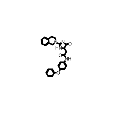 O=C(CC1NC(N2CCc3ccccc3C2)=NC1=O)Nc1ccc(Oc2ccccc2)cc1